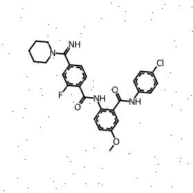 COc1ccc(NC(=O)c2ccc(C(=N)N3CCCCC3)cc2F)c(C(=O)Nc2ccc(Cl)cc2)c1